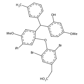 COc1ccc(C(c2cccc(C)c2)c2cc(OC)c(C(C)C)cc2Oc2c(Br)cc(CC(=O)O)cc2Br)c(O)c1